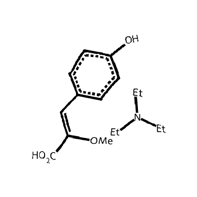 CCN(CC)CC.CO/C(=C\c1ccc(O)cc1)C(=O)O